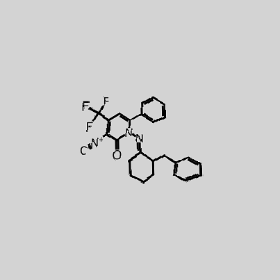 [C-]#[N+]c1c(C(F)(F)F)cc(-c2ccccc2)n(/N=C2\CCCCC2Cc2ccccc2)c1=O